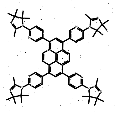 CC1=NC(C)(C)C(C)(C)N1c1ccc(-c2cc(-c3ccc(N4C(C)=NC(C)(C)C4(C)C)nc3)c3ccc4c(-c5ccc(N6C(C)=NC(C)(C)C6(C)C)nc5)cc(-c5ccc(N6C(C)=NC(C)(C)C6(C)C)nc5)c5ccc2c3c54)cn1